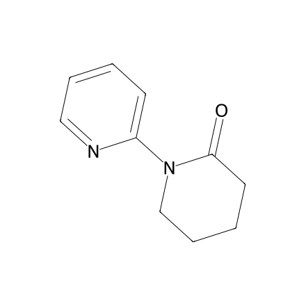 O=C1CCCCN1c1ccccn1